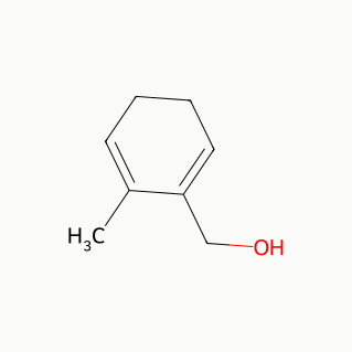 CC1=CCCC=C1CO